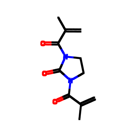 C=C(C)C(=O)N1CCN(C(=O)C(=C)C)C1=O